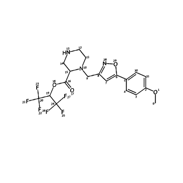 COc1ccc(-c2cc(CN3CCNCC3C(=O)OC(C(F)(F)F)C(F)(F)F)no2)cc1